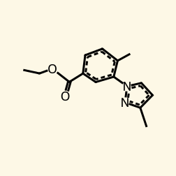 CCOC(=O)c1ccc(C)c(-n2ccc(C)n2)c1